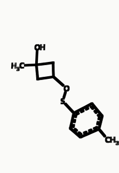 Cc1ccc(SOC2CC(C)(O)C2)cc1